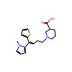 Cn1cccc1/C(=C/CCN1CCCC(C(=O)O)C1)c1cccs1